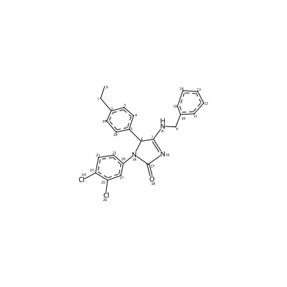 CCc1ccc(C2C(NCc3ccccc3)=NC(=O)N2c2ccc(Cl)c(Cl)c2)cc1